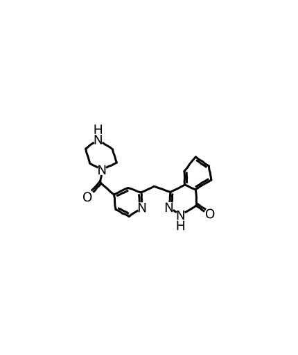 O=C(c1ccnc(Cc2n[nH]c(=O)c3ccccc23)c1)N1CCNCC1